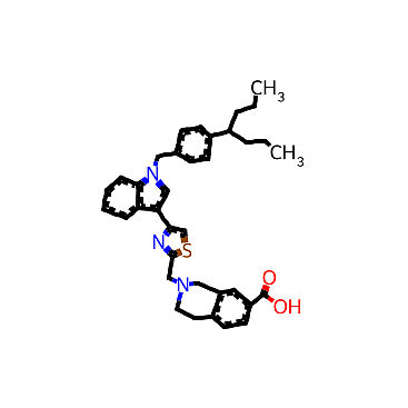 CCCC(CCC)c1ccc(Cn2cc(-c3csc(CN4CCc5ccc(C(=O)O)cc5C4)n3)c3ccccc32)cc1